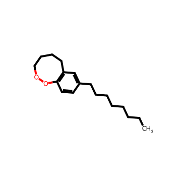 CCCCCCCCc1ccc2c(c1)CCCCOO2